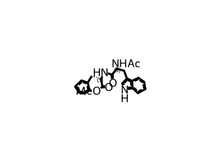 COC(=O)[C@H](Cc1ccccc1)NC(=O)[C@H](Cc1c[nH]c2ccccc12)NC(C)=O